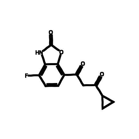 O=C(CC(=O)C1CC1)c1ccc(F)c2[nH]c(=O)oc12